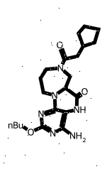 CCCCOc1nc(N)c2c(n1)N1CCCN(C(=O)CC3CCCC3)CC1C(=O)N2